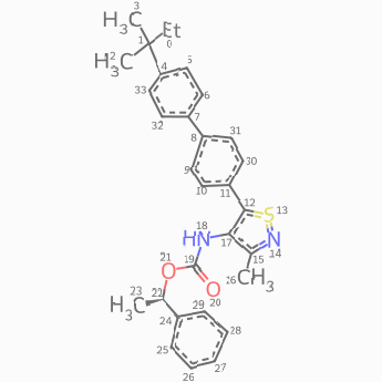 CCC(C)(C)c1ccc(-c2ccc(-c3snc(C)c3NC(=O)O[C@H](C)c3ccccc3)cc2)cc1